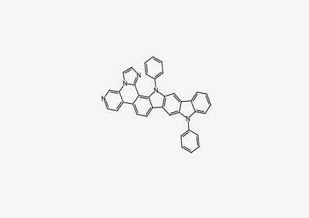 c1ccc(-n2c3ccccc3c3cc4c(cc32)c2ccc3c5ccncc5n5ccnc5c3c2n4-c2ccccc2)cc1